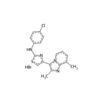 Br.Cc1nc2c(C)cccn2c1-c1csc(Nc2ccc(Cl)cc2)n1